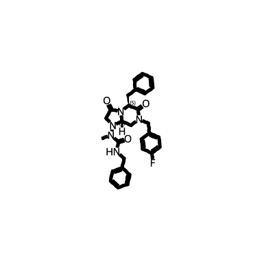 CN(C(=O)NCc1ccccc1)N1CC(=O)N2[C@@H](Cc3ccccc3)C(=O)N(Cc3ccc(F)cc3)C[C@@H]21